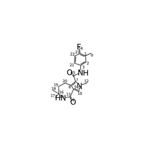 Cc1cc(NC(=O)c2c3c(cn2C)C(=O)NC(C)(C)CC3)ccc1F